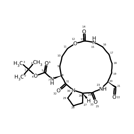 CC(C)(C)OC(=O)N[C@H]1CCCOC(=O)NCCCC[C@@H](C=O)NC(=O)[C@@H]2CCCN2C1=O